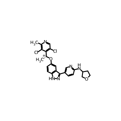 Cc1ncc(Cl)c([C@@H](C)Oc2ccc3[nH]nc(-c4ccc(NC5CCOC5)nc4)c3c2)c1Cl